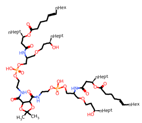 CCCCCC/C=C/CCCC(=O)O[C@H](CCCCCCC)CC(=O)NC(COCC[C@H](O)CCCCCCC)COP(=O)(O)OCCNC(=O)C1OC(C)(C)OC1C(=O)NCCOP(=O)(O)OCC(COCC[C@H](O)CCCCCCC)NC(=O)C[C@@H](CCCCCCC)OC(=O)CCC/C=C/CCCCCC